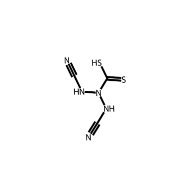 N#CNN(NC#N)C(=S)S